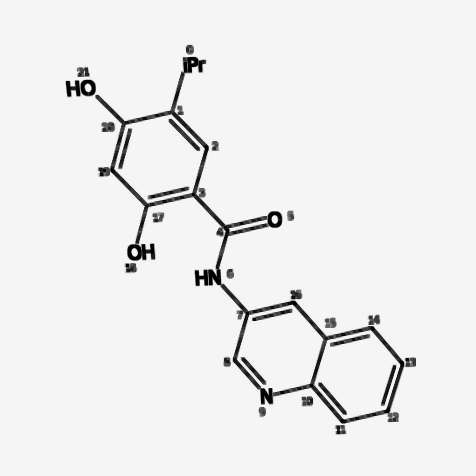 CC(C)c1cc(C(=O)Nc2cnc3ccccc3c2)c(O)cc1O